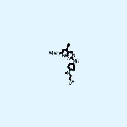 C#Cc1cc(OC)nc2nc(Nc3ccc(N(C)CCN(C)C)cc3)ncc12